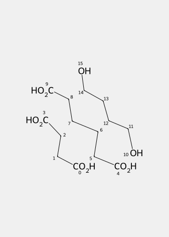 O=C(O)CCC(=O)O.O=C(O)CCCCC(=O)O.OCCCCO